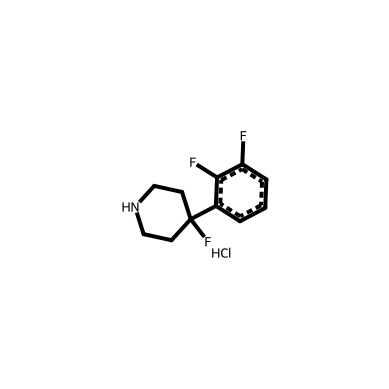 Cl.Fc1cccc(C2(F)CCNCC2)c1F